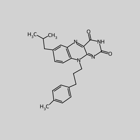 Cc1ccc(CCCn2c3nc(=O)[nH]c(=O)c-3nc3cc(CC(C)C)ccc32)cc1